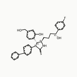 OCc1ccc([C@@H]2[C@@H](CCC[C@@H](O)c3ccc(F)cc3)NC(=S)N2c2ccc(-c3ccccc3)cc2)c(O)c1